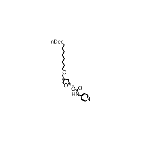 CCCCCCCCCCCCCCCCCCOC[C@@H]1CO[C@@H](COC(=O)Nc2ccncc2)C1